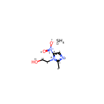 Cc1ncc([N+](=O)[O-])n1CCO.[SiH4]